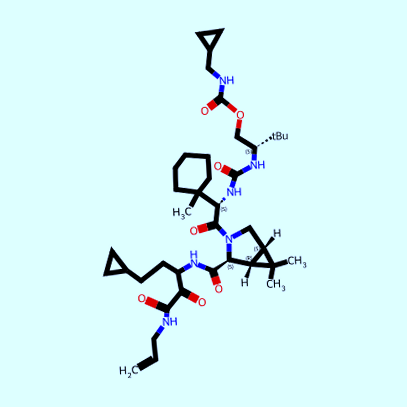 C=CCNC(=O)C(=O)C(CCC1CC1)NC(=O)[C@@H]1[C@@H]2[C@H](CN1C(=O)[C@@H](NC(=O)N[C@H](COC(=O)NCC1CC1)C(C)(C)C)C1(C)CCCCC1)C2(C)C